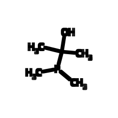 CP(C)C(C)(C)O